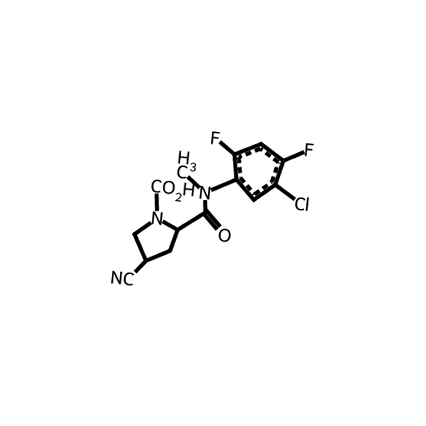 CN(C(=O)C1CC(C#N)CN1C(=O)O)c1cc(Cl)c(F)cc1F